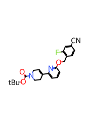 CC(C)(C)OC(=O)N1CC=C(c2cccc(OCc3ccc(C#N)cc3F)n2)CC1